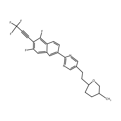 CC1CCC(CCc2cnc(-c3ccc4c(F)c(C#CC(F)(F)F)c(F)cc4c3)nc2)OC1